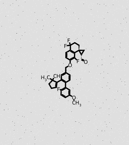 COc1ccc(F)c(-c2ccc(COc3ccc4c(c3F)[C@]3(CCC4(F)F)C[C@@H]3C=O)cc2C2=CCCC2(C)C)c1